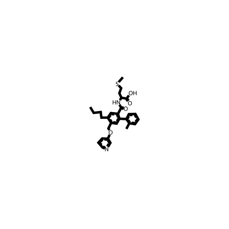 CCCCc1cc(C(=O)NC(CCSC)C(=O)O)c(-c2ccccc2C)cc1COc1cccnc1